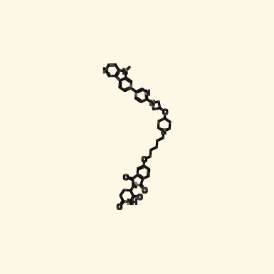 Cn1c2ccncc2c2ccc(-c3ccc(N4CC(OC5CCN(CCCCCOc6ccc7c(c6)C(=O)N(C6CCC(=O)NC6=O)C7=O)CC5)C4)nc3)cc21